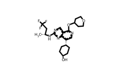 C[C@H](CC(F)(F)F)Nc1ncc2c(OC3CCOCC3)ncc([C@H]3CC[C@H](O)CC3)c2n1